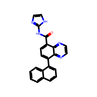 O=C(Nc1ncc[nH]1)c1ccc(-c2cccc3ccccc23)c2nccnc12